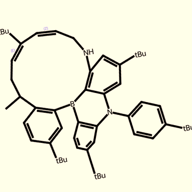 CC1C/C=C(C(C)(C)C)\C=C/CNc2cc(C(C)(C)C)cc3c2B(c2cc(C(C)(C)C)ccc21)c1ccc(C(C)(C)C)cc1N3c1ccc(C(C)(C)C)cc1